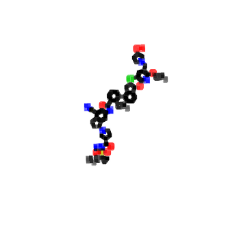 COc1nc(O[C@H]2CCc3c(-c4cccc(-c5nc6cc7c(c(C#N)c6o5)CC[C@H]7N5CC[C@@H](C(=O)NS(=O)(=O)C6(C)CC6)C5)c4C)cccc32)c(Cl)cc1CN1CC[C@@H](O)C1